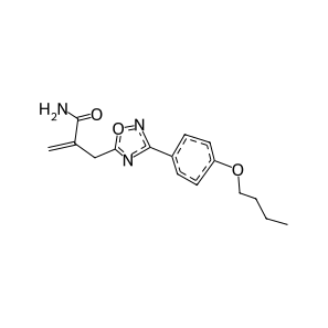 C=C(Cc1nc(-c2ccc(OCCCC)cc2)no1)C(N)=O